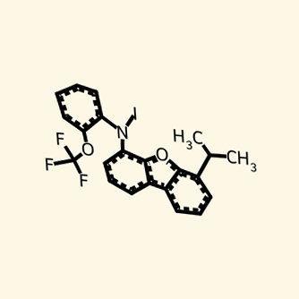 CC(C)c1cccc2c1oc1c(N(I)c3ccccc3OC(F)(F)F)cccc12